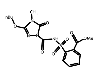 CCCCOc1nn(C(=O)NS(=O)(=O)c2ccccc2C(=O)OC)c(=O)n1C